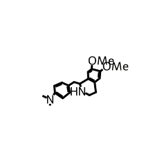 COc1cc2c(cc1OC)C(Cc1ccc(N(C)C)cc1)NCC2